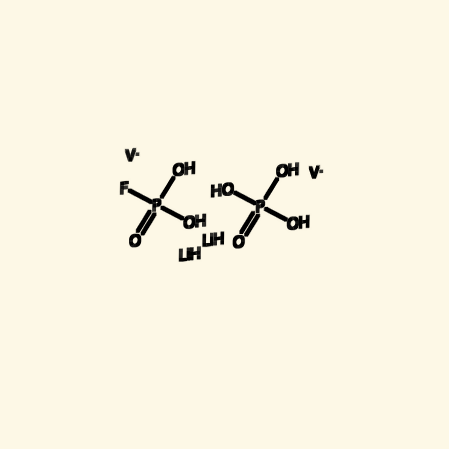 O=P(O)(O)F.O=P(O)(O)O.[LiH].[LiH].[V].[V]